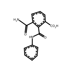 NC(=O)c1cccc(C(=O)O)c1C(=O)Nc1ccccc1